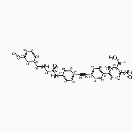 C=C(N[C@H](C(=O)NO)[C@@H](C)O)c1ccc(C#Cc2ccc(NC(=O)CNCc3cccc(OC)c3)cc2)cc1